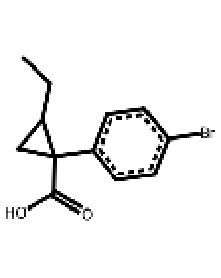 CCC1CC1(C(=O)O)c1ccc(Br)cc1